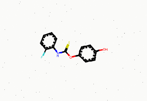 Oc1ccc(OC(=S)Nc2ccccc2F)cc1